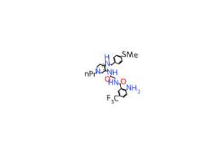 CCCN1CC[C@@H](NCc2ccc(SC)cc2)[C@@H](NC(=O)CNC(=O)c2cc(C(F)(F)F)ccc2N)C1